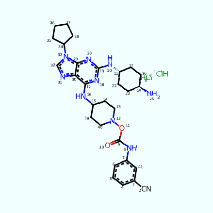 Cl.Cl.N#Cc1cccc(NC(=O)ON2CCC(Nc3nc(N[C@H]4CC[C@H](N)CC4)nc4c3ncn4C3CCCC3)CC2)c1